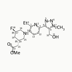 CCc1nc(-c2nnn(C)c2CO)ccc1N1C[C@H](F)C[C@@H](CC(=O)OC)C1